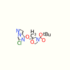 CC(C)(C)OC(=O)N1CCOC(C)(COc2nc(Cl)cn3nccc23)C1